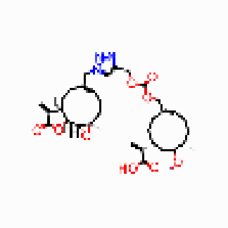 C=C(C(=O)O)[C@@H]1CC/C(COC(=O)OCc2cn(C/C3=C/CC[C@@]4(C)O[C@H]4[C@H]4OC(=O)C(=C)[C@@H]4CC3)nn2)=C\CC[C@H](C)[C@@H](OI)C1